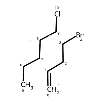 C=CCCBr.CCCCCCl